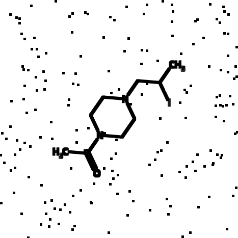 CC(=O)N1CCN(CC(C)I)CC1